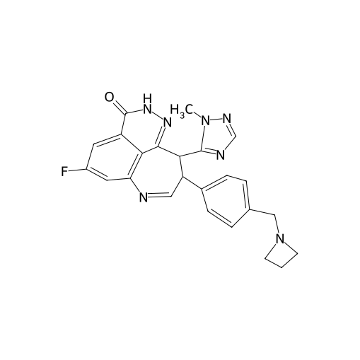 Cn1ncnc1C1c2n[nH]c(=O)c3cc(F)cc(c23)N=CC1c1ccc(CN2CCC2)cc1